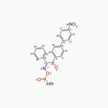 CCCC(=O)O/N=C(\C(=O)c1ccc(-c2ccc([N+](=O)[O-])cc2)cc1)c1ccccc1